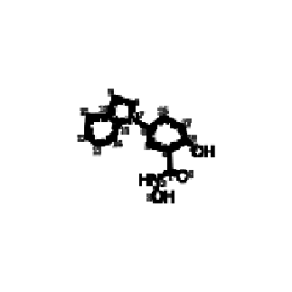 O=C(NO)c1cc(-n2ccc3c[c]ccc32)ccc1O